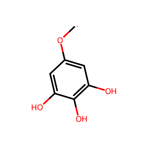 [CH2]Oc1cc(O)c(O)c(O)c1